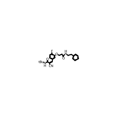 CC(C)(C)NC(=O)C(C#N)=Cc1ccc(F)c(OCCC(=O)N[CH]Cc2ccccc2)c1